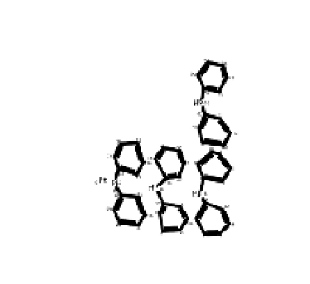 [Pt].c1ccc(Pc2ccccc2)cc1.c1ccc(Pc2ccccc2)cc1.c1ccc(Pc2ccccc2)cc1.c1ccc(Pc2ccccc2)cc1